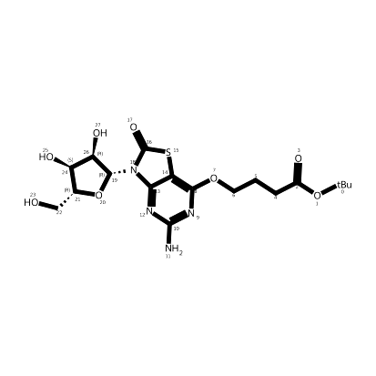 CC(C)(C)OC(=O)CCCOc1nc(N)nc2c1sc(=O)n2[C@@H]1O[C@H](CO)[C@@H](O)[C@H]1O